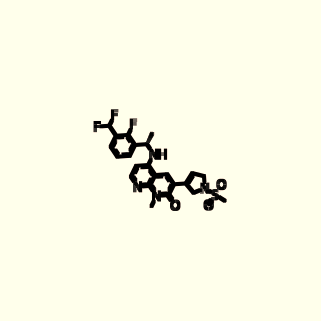 C[C@@H](Nc1ccnc2c1cc(C1=CCN(S(C)(=O)=O)C1)c(=O)n2C)c1cccc(C(F)F)c1F